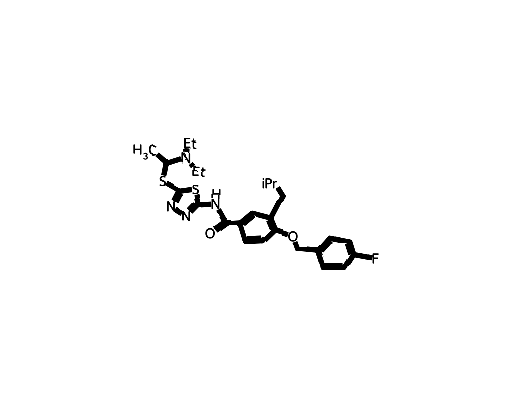 CCN(CC)C(C)Sc1nnc(NC(=O)c2ccc(OCc3ccc(F)cc3)c(CC(C)C)c2)s1